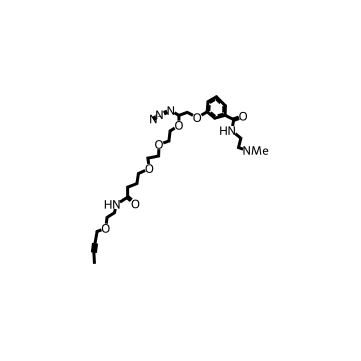 CC#CCOCCNC(=O)CCCOCCOCCOC(COc1cccc(C(=O)NCCNC)c1)N=[N+]=[N-]